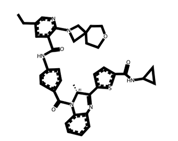 CCc1cnc(N2CC3(CCOCC3)C2)c(C(=O)Nc2ccc(C(=O)N3c4ccccc4N=C(c4ccc(C(=O)NC5CC5)s4)[C@H]3C)cc2)c1